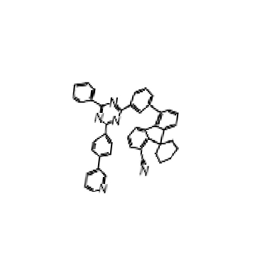 N#Cc1cccc2c1C1(CCCCC1)c1cccc(-c3cccc(-c4nc(-c5ccccc5)nc(-c5ccc(-c6cccnc6)cc5)n4)c3)c1-2